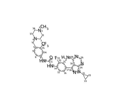 CN1CCN(Cc2ccc(NC(=O)Nc3ccc(-c4nn(C5CC5)c5ncnc(N)c45)cc3F)cc2C(F)(F)F)CC1